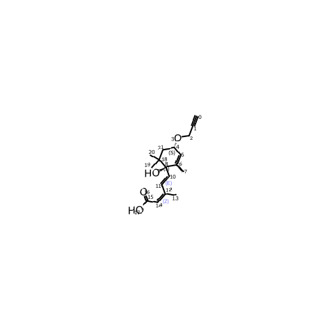 C#CCO[C@@H]1C=C(C)[C@](O)(/C=C/C(C)=C\C(=O)O)C(C)(C)C1